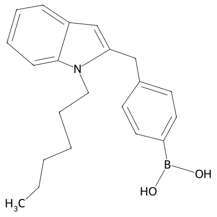 CCCCCCn1c(Cc2ccc(B(O)O)cc2)cc2ccccc21